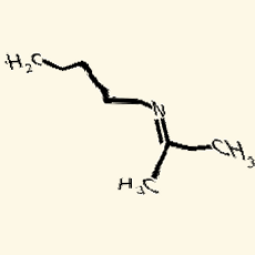 [CH2]CCN=C(C)C